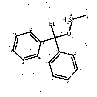 CCC(O[SiH2]C)(c1ccccc1)c1ccccc1